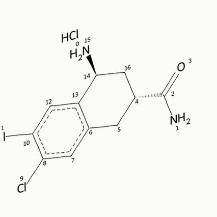 Cl.NC(=O)[C@@H]1Cc2cc(Cl)c(Cl)cc2[C@@H](N)C1